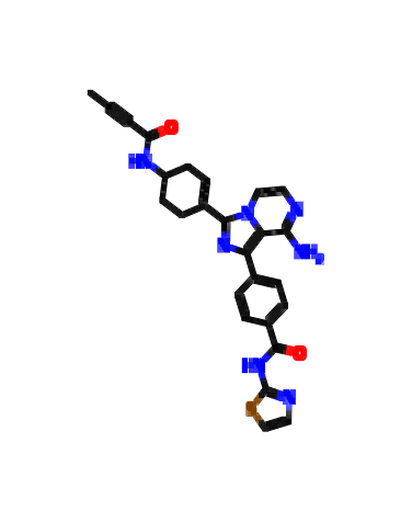 CC#CC(=O)NC1CC=C(c2nc(-c3ccc(C(=O)Nc4nccs4)cc3)c3c(N)nccn23)CC1